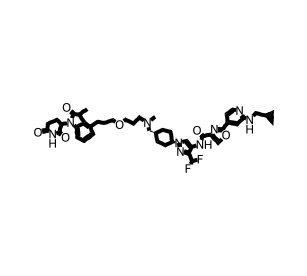 CC1C(=O)N(C2CCC(=O)NC2=O)c2cccc(CCCOCCCN(C)C[C@H]3CC[C@H](n4cc(NC(=O)c5coc(-c6ccnc(NCC7CC7)c6)n5)c(C(F)F)n4)CC3)c21